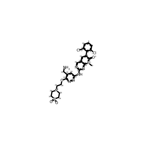 Cn1c(=O)c(-c2c(Cl)cccc2Cl)cc2cnc(Nc3cc(CN)c(OCCN4CCS(=O)(=O)CC4)nn3)nc21